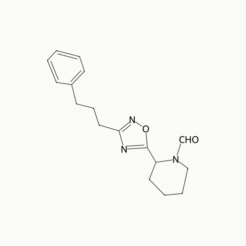 O=CN1CCCCC1c1nc(CCCc2ccccc2)no1